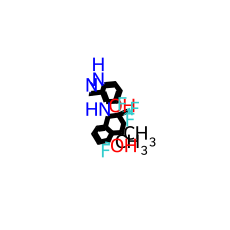 CC1(C)CC(O)(C(F)(F)F)C(Nc2cccc3[nH]ncc23)C2=CC=CC(O)(F)C21